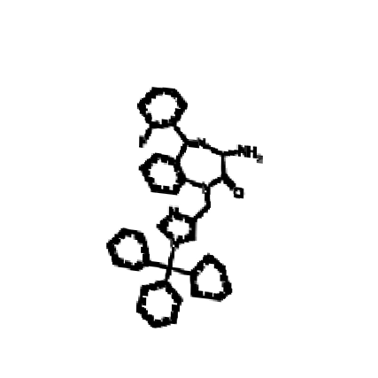 NC1N=C(c2ccccc2F)c2ccccc2N(Cc2cn(C(c3ccccc3)(c3ccccc3)c3ccccc3)cn2)C1=O